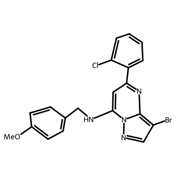 COc1ccc(CNc2cc(-c3ccccc3Cl)nc3c(Br)cnn23)cc1